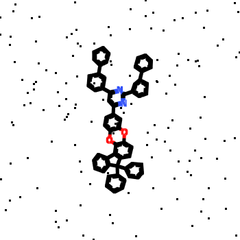 c1ccc(-c2cccc(-c3cc(-c4ccc5c(c4)Oc4ccc6c(c4O5)-c4ccccc4C6(c4ccccc4)c4ccccc4)nc(-c4cccc(-c5ccccc5)c4)n3)c2)cc1